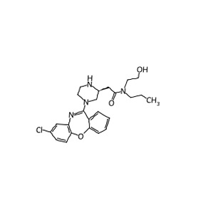 CCCN(CCO)C(=O)C[C@H]1CN(C2=Nc3cc(Cl)ccc3Oc3ccccc32)CCN1